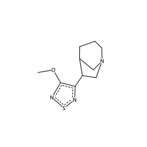 COc1nsnc1C1CN2CCCC1C2